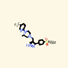 CNS(=O)(=O)c1ccc(-c2n[nH]cc2CN2CCN(c3ccc(C(F)(F)F)cn3)C(C)C2)cc1